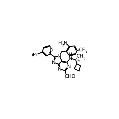 CC(C)c1ccnc(-c2nc3nc(C=O)nc(N[C@H](C)C4CCC4)c3n2Cc2ccc(C(F)(F)F)cc2N)c1